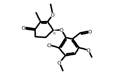 COC1=C(C)C(=O)CC[C@@H]1Oc1c(Cl)c(OC)cc(OC)c1C=O